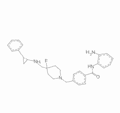 Nc1ccccc1NC(=O)c1ccc(CN2CCC(F)(CNC3CC3c3ccccc3)CC2)cc1